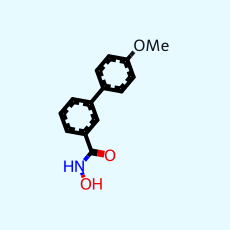 COc1ccc(-c2cccc(C(=O)NO)c2)cc1